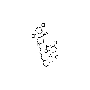 Cc1cccc(CCCCCN2CCC(C#N)(c3cc(Cl)ccc3Cl)CC2)c1CN(C=O)C1CCC(=O)NC1=O